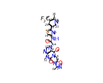 Cc1noc(Cn2c(=O)c3c(ncn3CC(=O)Nc3csc(-c4cnc(C)c(C(F)(F)F)c4)n3)n(C)c2=O)n1